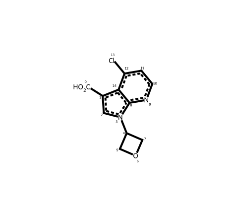 O=C(O)c1cn(C2COC2)c2nccc(Cl)c12